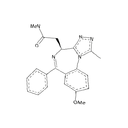 CNC(=O)C[C@@H]1N=C(c2ccccc2)c2cc(OC)ccc2-n2c(C)nnc21